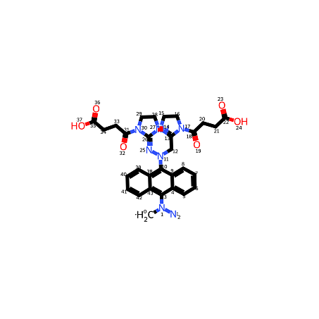 [CH2]N([N])c1c2ccccc2c(N(CC2=NCCN2C(=O)CCC(=O)O)N=C2NCCN2C(=O)CCC(=O)O)c2ccccc12